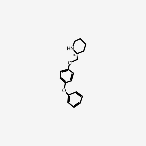 c1ccc(Oc2ccc(OC[C@@H]3CCCCN3)cc2)cc1